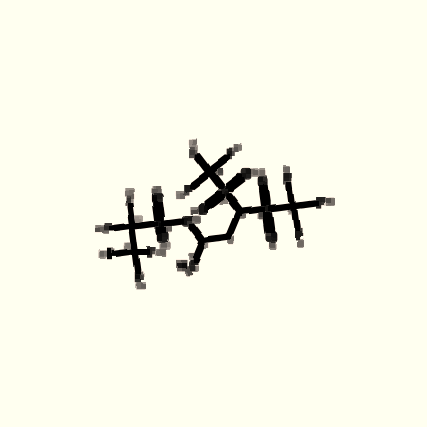 CC(CC(S(=O)(=O)C(F)(F)F)S(=O)(=O)C(F)(F)F)OS(=O)(=O)C(F)(F)C(F)(F)F